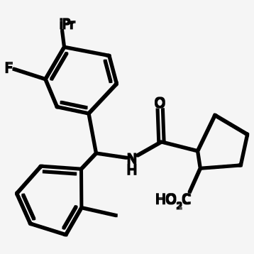 Cc1ccccc1C(NC(=O)C1CCCC1C(=O)O)c1ccc(C(C)C)c(F)c1